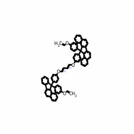 C=COc1ccc(C2(c3ccc(O/C=C/C=C/Oc4ccc(C5(c6ccc(OC=C)cc6)c6c(ccc7ccccc67)-c6ccc7ccccc7c65)cc4)cc3)c3ccccc3-c3ccc4ccccc4c32)cc1